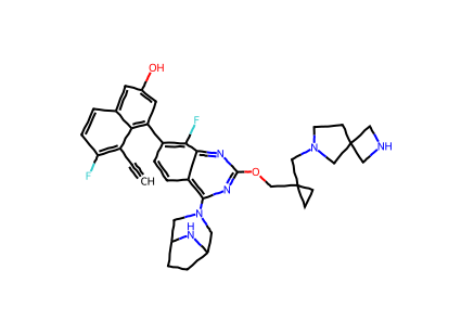 C#Cc1c(F)ccc2cc(O)cc(-c3ccc4c(N5CC6CCC(C5)N6)nc(OCC5(CN6CCC7(CNC7)C6)CC5)nc4c3F)c12